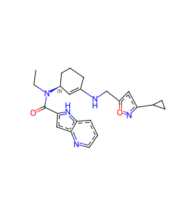 CCN(C(=O)c1cc2ncccc2[nH]1)[C@@H]1C=C(NCc2cc(C3CC3)no2)CCC1